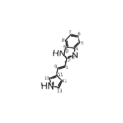 C(=C\c1nc2ccccc2[nH]1)/c1cc[nH]c1